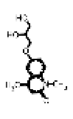 Cc1cc(=O)n(C)c2ccc(OCC(O)CO)cc12